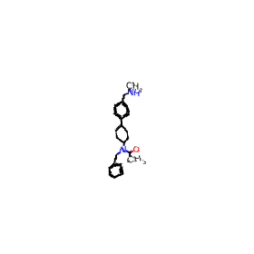 CNCc1ccc(C2CCC(N(Cc3ccccc3)C(C)=O)CC2)cc1